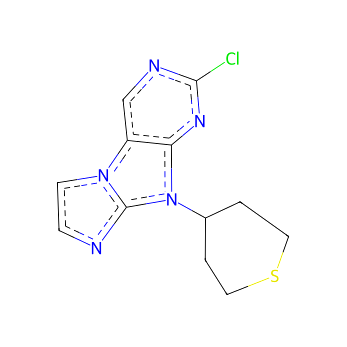 Clc1ncc2c(n1)n(C1CCSCC1)c1nccn21